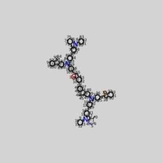 C=Cc1c(/C=C\C)n(-c2ccccc2)c2ccc(-c3ccc(N(c4ccc(-c5cc6ccccc6s5)cc4)c4ccc5c(c4)C(C)(C)c4ccc(-c6ccc7cc(-c8ccc(N(c9ccc(-c%10ccc%11c(c%10)c%10ccccc%10n%11-c%10ccccc%10)cc9)c9ccc%10c(c9)C(C)(C)c9ccccc9-%10)cc8)oc7c6)cc4-5)cc3)cc12